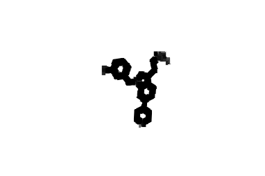 NCCc1cn(Cc2cccc(F)c2)c2cc(-c3ccncc3)ccc12